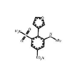 CCCCNc1cc(C(=O)O)cc(S(N)(=O)=O)c1-c1ccoc1